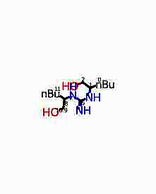 CCCCC(CO)NC(=N)NC(CO)CCCC